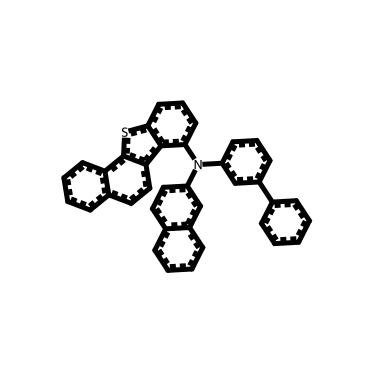 c1ccc(-c2cccc(N(c3ccc4ccccc4c3)c3cccc4sc5c6ccccc6ccc5c34)c2)cc1